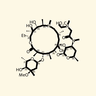 CC[C@H]1OC(=O)[C@H](C)[C@@H](O[C@H]2C[C@@](C)(OC)[C@@H](O)[C@H](C)O2)[C@H](C)[C@@H](O[C@@H]2O[C@H](C)C[C@H](N(C)C(=O)CN(C)CC(=O)O)[C@H]2O)[C@](C)(O)C[C@@H](C)CN(C)[C@H](C)[C@@H](O)[C@]1(C)O